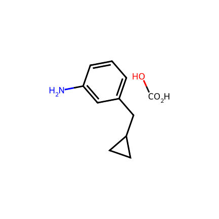 Nc1cccc(CC2CC2)c1.O=C(O)O